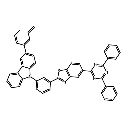 C=C/C=C(\C=C/C)c1ccc2c(c1)c1ccccc1n2-c1cccc(-c2nc3cc(-c4nc(-c5ccccc5)nc(-c5ccccc5)n4)ccc3s2)c1